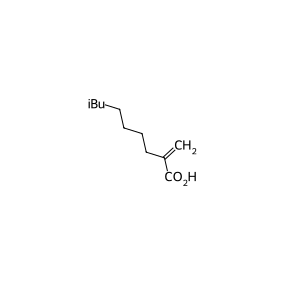 C=C(CCCCC(C)CC)C(=O)O